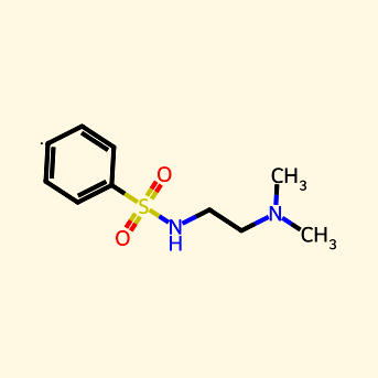 CN(C)CCNS(=O)(=O)c1cc[c]cc1